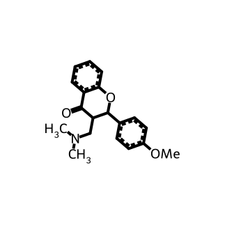 COc1ccc(C2Oc3ccccc3C(=O)C2CN(C)C)cc1